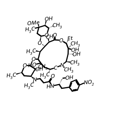 CC[C@H]1OC(=O)[C@H](C)[C@@H](O[C@H]2C[C@@](C)(OC)[C@@H](O)[C@H](C)O2)[C@H](C)C(O[C@@H]2O[C@H](C)C[C@H](N(C)CCC(=O)N[C@H](CO)Cc3ccc([N+](=O)[O-])cc3)[C@H]2O)[C@](C)(O)C[C@@H](C)CN(C)[C@H](C)[C@@H](O)[C@]1(C)O